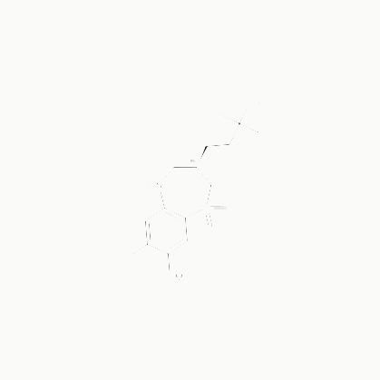 COc1cc2c(cc1C(F)(F)F)NC[C@@H](CCC(C)(F)F)CS2(=O)=O